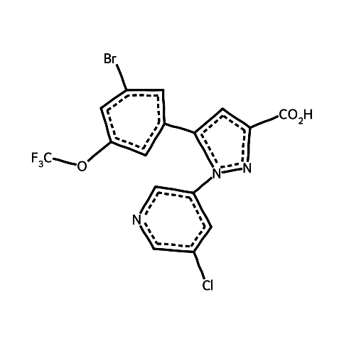 O=C(O)c1cc(-c2cc(Br)cc(OC(F)(F)F)c2)n(-c2cncc(Cl)c2)n1